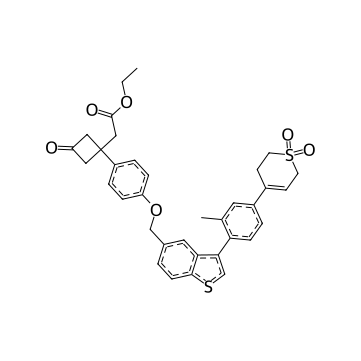 CCOC(=O)CC1(c2ccc(OCc3ccc4scc(-c5ccc(C6=CCS(=O)(=O)CC6)cc5C)c4c3)cc2)CC(=O)C1